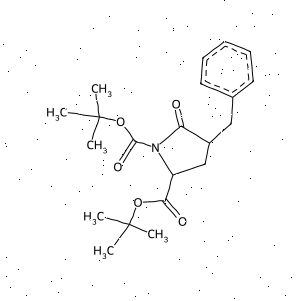 CC(C)(C)OC(=O)C1CC(Cc2ccccc2)C(=O)N1C(=O)OC(C)(C)C